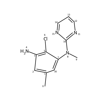 Cc1cc(N)c(Cl)c(N(C)c2ncccn2)c1